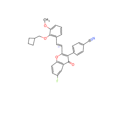 COc1cccc(/C=C/c2oc3ccc(F)cc3c(=O)c2-c2ccc(C#N)cc2)c1OCC1CCC1